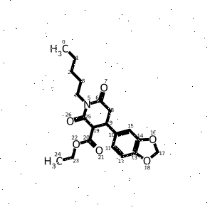 CCCCCN1C(=O)CC(c2ccc3c(c2)OCO3)C(C(=O)OCC)C1=O